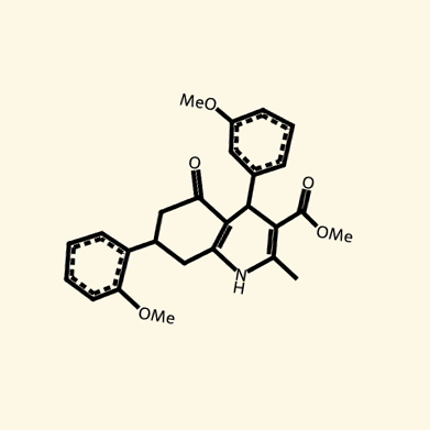 COC(=O)C1=C(C)NC2=C(C(=O)CC(c3ccccc3OC)C2)C1c1cccc(OC)c1